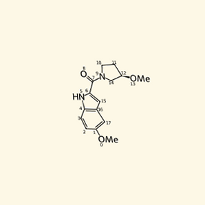 COc1ccc2[nH]c(C(=O)N3CC[C@@H](OC)C3)cc2c1